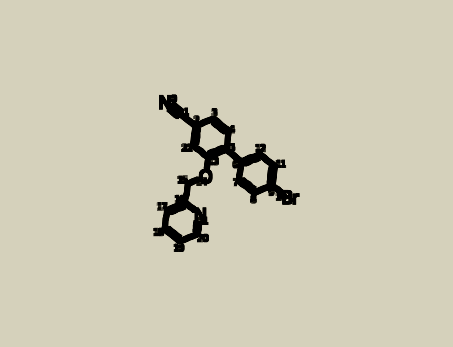 N#Cc1ccc(-c2ccc(Br)cc2)c(OCc2ccccn2)c1